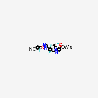 COC(=O)c1ccc2nc(Cc3cc(F)c(-c4ccnc(OCc5ccc(C#N)cc5F)n4)cc3F)n(CC3(CF)CC3)c2c1